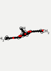 C=CC(=O)OCCCCCCCCCCCOc1ccc(C(=O)Oc2ccc(OC(=O)c3ccc(OCCCCCCCCCCCOC(=O)C=C)cc3)c(C(=O)OCCCCO)c2)cc1